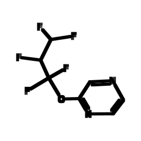 FC(F)C(F)C(F)(F)Oc1cnccn1